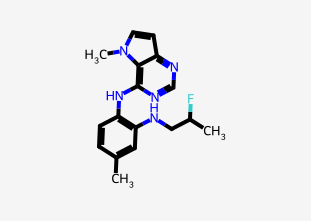 Cc1ccc(Nc2ncnc3ccn(C)c23)c(NCC(C)F)c1